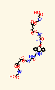 CCC(C)(CCC(C)C(=O)OCC[N+](C)(C)CCC(=O)NCCOC1Cc2ccccc2-c2c(nnn2CCNC(=O)CC[N+](C)(C)CCOC(=O)C(C)CCC(C)(CC)C(=O)OCC[N+](C)(C)CCC(=O)O)-c2ccccc21)C(=O)OCC[N+](C)(C)CCC(=O)O